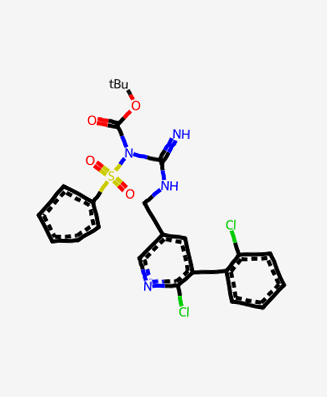 CC(C)(C)OC(=O)N(C(=N)NCc1cnc(Cl)c(-c2ccccc2Cl)c1)S(=O)(=O)c1ccccc1